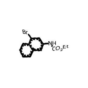 CCOC(=O)Nc1cc(Br)c2ccccc2c1